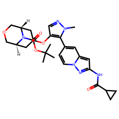 Cn1ncc(OC2C[C@H]3COC[C@H](C2)N3C(=O)OC(C)(C)C)c1-c1ccn2nc(NC(=O)C3CC3)cc2c1